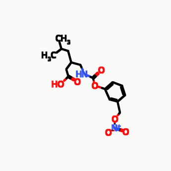 CC(C)CC(CNC(=O)Oc1cccc(CO[N+](=O)[O-])c1)CC(=O)O